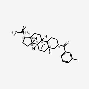 CC(=O)[C@H]1CC[C@H]2[C@@H]3CC[C@H]4C[C@H](C(=O)c5cccc(I)c5)CC[C@]4(C)[C@H]3CC[C@]12C